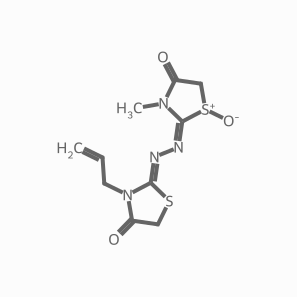 C=CCN1C(=O)CSC1=NN=C1N(C)C(=O)C[S+]1[O-]